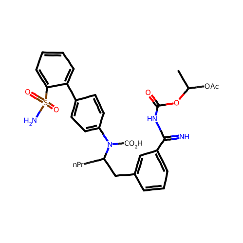 CCCC(Cc1cccc(C(=N)NC(=O)OC(C)OC(C)=O)c1)N(C(=O)O)c1ccc(-c2ccccc2S(N)(=O)=O)cc1